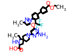 CCOC(=O)c1ccc(-c2ccc(-n3ccc(C)n3)c([C@@H](Oc3cc(N4CCC5(CC4)CC(C(=O)O)NC5CC)nc(N)n3)C(F)(F)F)c2)cc1